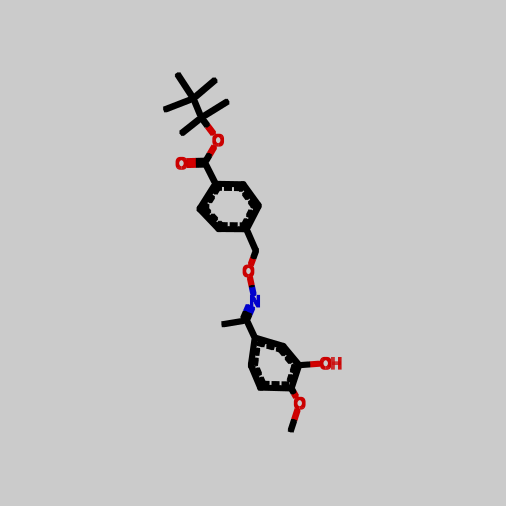 COc1ccc(/C(C)=N/OCc2ccc(C(=O)OC(C)(C)C(C)(C)C)cc2)cc1O